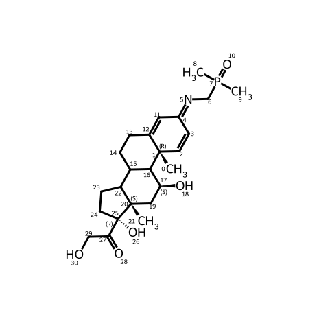 C[C@]12C=CC(=NCP(C)(C)=O)C=C1CCC1C2[C@@H](O)C[C@@]2(C)C1CC[C@]2(O)C(=O)CO